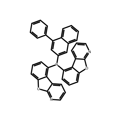 c1ccc(-c2cc(N(c3cccc4oc5ncccc5c34)c3cccc4oc5ncccc5c34)cc3ccccc23)cc1